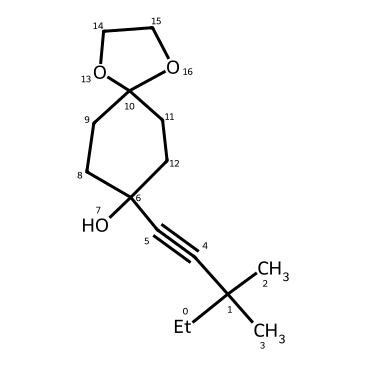 CCC(C)(C)C#CC1(O)CCC2(CC1)OCCO2